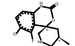 C[C@H]1CNC[C@]2(C1)OC(=O)Nc1ccc(Cl)c(F)c12